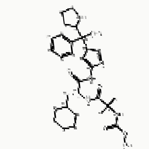 CC(C)(C)OC(=O)NC(C)(C)C(=O)N[C@H](CC1CCCCC1)C(=O)Nc1cn(C(C=O)(c2ccccc2)C2CCCN2)cn1